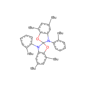 CCCCc1ccccc1N1c2cc(C(C)(C)C)cc(C(C)(C)C)c2OC12Oc1c(cc(C(C)(C)C)cc1C(C)(C)C)N2c1ccccc1CCCC